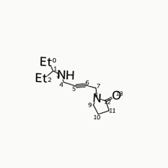 CCC(CC)NCC#CCN1CCCC1=O